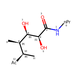 CCCNC(=O)[C@@H](O)[C@H](O)[C@H](C)[C@@H](C)C(C)=O